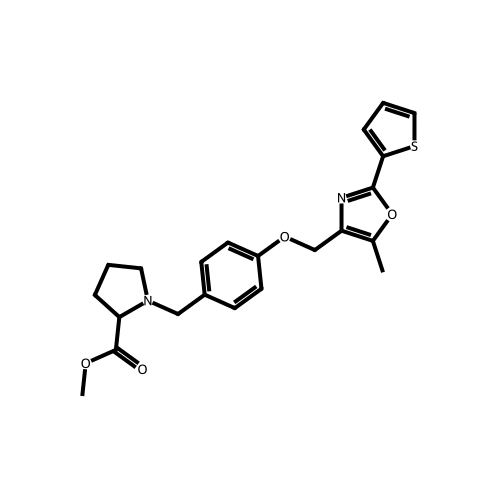 COC(=O)C1CCCN1Cc1ccc(OCc2nc(-c3cccs3)oc2C)cc1